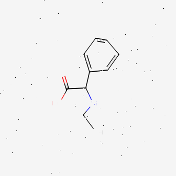 CCNC(C(=O)O)c1ccccc1.Cl